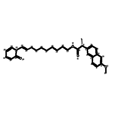 COc1ccc2cc([C@@H](C)C(=O)OCCCCCCCC/C=C/n3ccccc3=O)ccc2c1